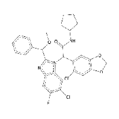 COC(c1ccccc1)c1nc2cc(F)c(Cl)cc2n1C(C(=O)NC1CCCC1)c1cc2c(cc1Cl)OCO2